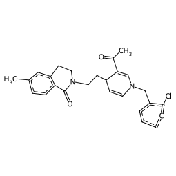 CC(=O)C1=CN(Cc2ccccc2Cl)C=CC1CCN1CCc2cc(C)ccc2C1=O